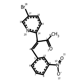 CC(=O)C(=Cc1cccc([N+](=O)[O-])c1)c1ccc(Br)cn1